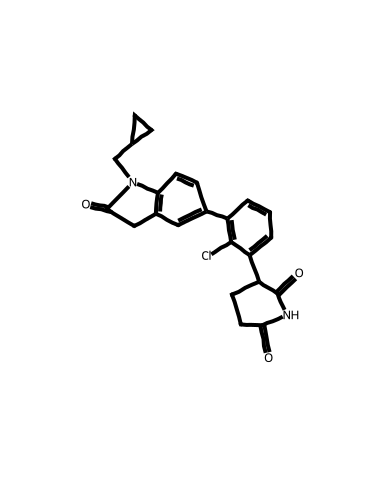 O=C1CCC(c2cccc(-c3ccc4c(c3)CC(=O)N4CC3CC3)c2Cl)C(=O)N1